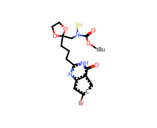 CC(C)(C)OC(=O)N(S)CC1(CCCc2nc3cc(Br)ccc3c(=O)[nH]2)OCCO1